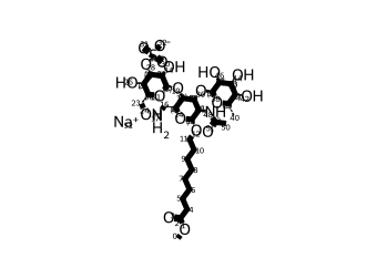 COC(=O)CCCCCCCCO[C@@H]1O[C@H](CN)[C@@H](O[C@@H]2O[C@H](CO)[C@H](O)[C@H](OS(=O)(=O)[O-])[C@H]2O)[C@H](O[C@@H]2O[C@@H](C)[C@@H](O)[C@@H](O)[C@@H]2O)[C@H]1NC(C)=O.[Na+]